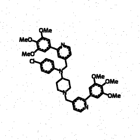 COc1cc(-c2cc(CN3CCC(N(Cc4ccnc(-c5cc(OC)c(OC)c(OC)c5)c4)c4ccc(Cl)cc4)CC3)ccn2)cc(OC)c1OC